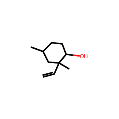 C=CC1(C)CC(C)CCC1O